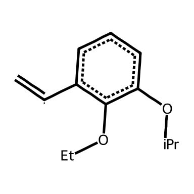 C=[C]c1cccc(OC(C)C)c1OCC